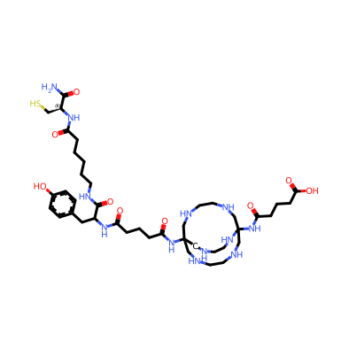 NC(=O)[C@H](CS)NC(=O)CCCCCNC(=O)C(Cc1ccc(O)cc1)NC(=O)CCCC(=O)NC12CNCCNCC(NC(=O)CCCC(=O)O)(CNCCNC1)NCCNC2